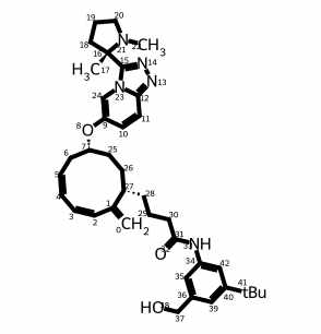 C=C1/C=C\C=C/C[C@H](Oc2ccc3nnc([C@]4(C)CCCN4C)n3c2)CC[C@@H]1CCCC(=O)Nc1cc(CO)cc(C(C)(C)C)c1